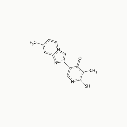 Cn1c(S)ncc(-c2cn3ccc(C(F)(F)F)cc3n2)c1=O